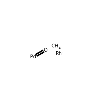 C.[O]=[Pd].[Rh]